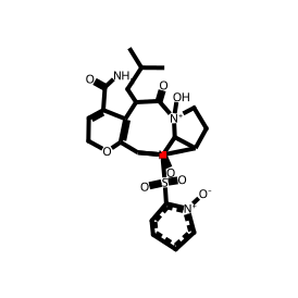 CC(C)CC1C(=O)[N+]2(O)CCC3C2C(=O)C(C2=C1C(C(N)=O)=CCO2)N3S(=O)(=O)c1cccc[n+]1[O-]